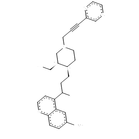 COc1ccc2nccc(C(O)CC[C@@H]3CCN(CC#Cc4cnccn4)C[C@@H]3CO)c2c1